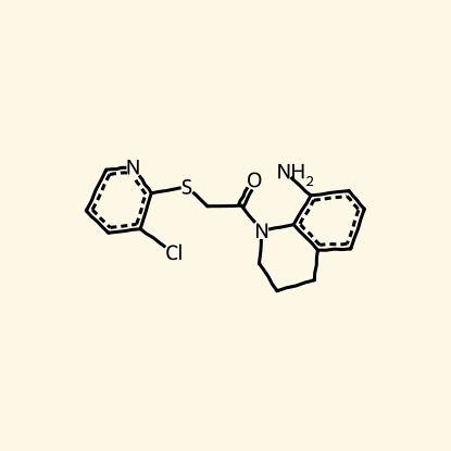 Nc1cccc2c1N(C(=O)CSc1ncccc1Cl)CCC2